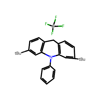 CC(C)(C)c1ccc2c(c1)N(c1ccccc1)c1cc(C(C)(C)C)ccc1C2.F[B-](F)(F)F